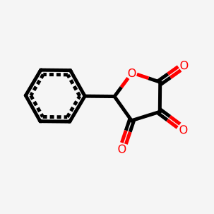 O=C1OC(c2ccccc2)C(=O)C1=O